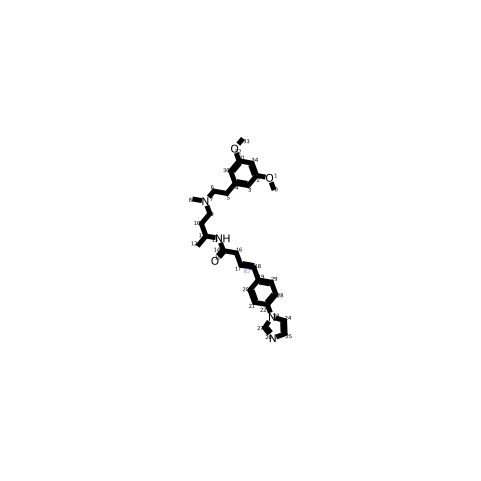 COc1cc(CCN(C)CCC(C)NC(=O)C/C=C/c2ccc(-n3ccnc3)cc2)cc(OC)c1